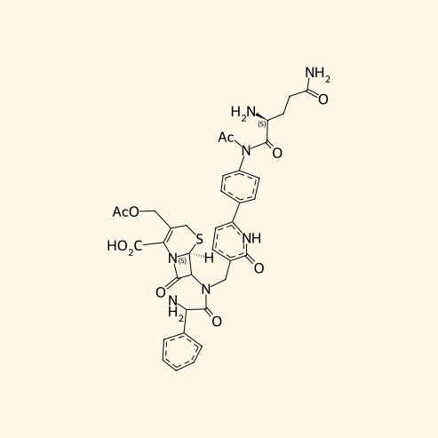 CC(=O)OCC1=C(C(=O)O)N2C(=O)C(N(Cc3ccc(-c4ccc(N(C(C)=O)C(=O)[C@@H](N)CCC(N)=O)cc4)[nH]c3=O)C(=O)C(N)c3ccccc3)[C@@H]2SC1